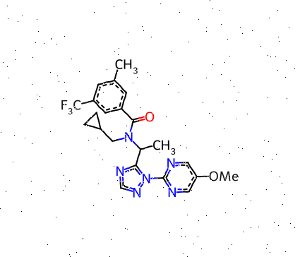 COc1cnc(-n2ncnc2C(C)N(CC2CC2)C(=O)c2cc(C)cc(C(F)(F)F)c2)nc1